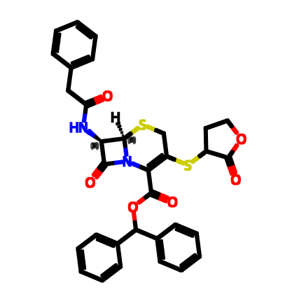 O=C(Cc1ccccc1)N[C@@H]1C(=O)N2C(C(=O)OC(c3ccccc3)c3ccccc3)=C(SC3CCOC3=O)CS[C@H]12